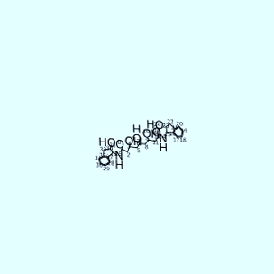 O=C(C[C@H](O)CC(O)C[C@@H](O)CC(=O)N[C@H]1c2ccccc2C[C@H]1O)N[C@H]1c2ccccc2C[C@H]1O